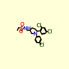 CCS(=O)(=O)NCC1CCC(c2ccc(Cl)cc2Cl)N(c2ccc(Cl)cc2)C1